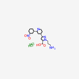 Cl.Cl.NCCCn1nc(-c2ccnc(-c3cccc([N+](=O)[O-])c3)c2)cc1C(=O)O